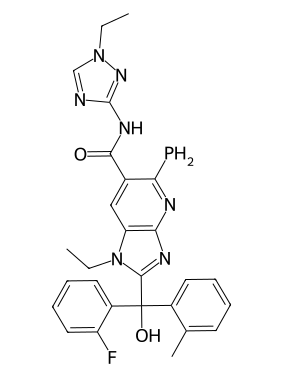 CCn1cnc(NC(=O)c2cc3c(nc2P)nc(C(O)(c2ccccc2C)c2ccccc2F)n3CC)n1